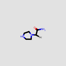 CC(=O)C(C(N)=O)N1CCNCC1